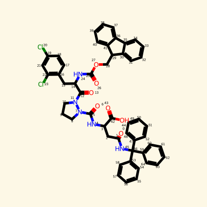 O=C(CC(NC(=O)N1CCCN1C(=O)C(Cc1ccc(Cl)cc1Cl)NC(=O)OCC1c2ccccc2-c2ccccc21)C(=O)O)NC(c1ccccc1)(c1ccccc1)c1ccccc1